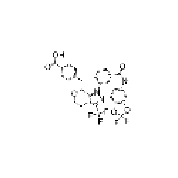 CN(C(=O)c1cccc(-n2nc(C(F)(F)F)c3c2C(Cc2ccc(C(=O)O)cc2)OCC3)c1)c1ccc2c(c1)OC(F)(F)O2